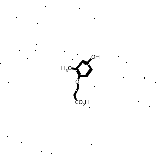 Cc1cc(O)ccc1OCCC(=O)O